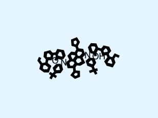 CCc1ccccc1-c1cccc(-c2cccc(N(c3ccc(C(C)(C)C)cc3)c3cc(C4CCCC4)c4ccc5c(N(c6ccc(C(C)(C)C)cc6)c6cccc7c6oc6c(-c8ccccc8CC)cccc67)cc(C6CCCC6)c6ccc3c4c65)c2O)c1